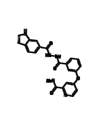 CNC(=O)c1cc(Oc2cccc(C(=O)NNC(=O)c3ccc4cc[nH]c4c3)c2)ccn1